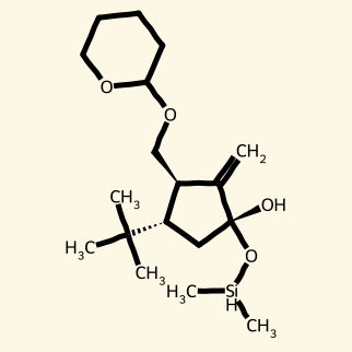 C=C1[C@H](COC2CCCCO2)[C@@H](C(C)(C)C)C[C@@]1(O)O[SiH](C)C